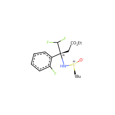 CCOC(=O)C[C@@](N[S@@+]([O-])C(C)(C)C)(c1ccccc1F)C(F)F